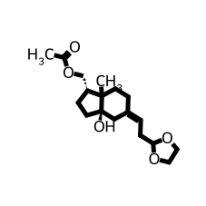 CC(=O)OC[C@H]1CC[C@@]2(O)C/C(=C\CC3OCCO3)CCC12C